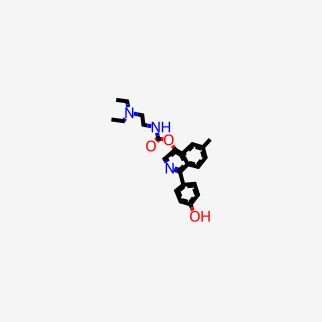 CCN(CC)CCNC(=O)Oc1cnc(-c2ccc(O)cc2)c2ccc(C)cc12